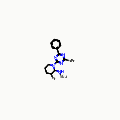 CCCCNC1C(CC)CCCN1c1nc(CCC)nc(-c2ccccc2)n1